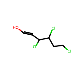 OC=CC(Cl)C(Cl)CCCl